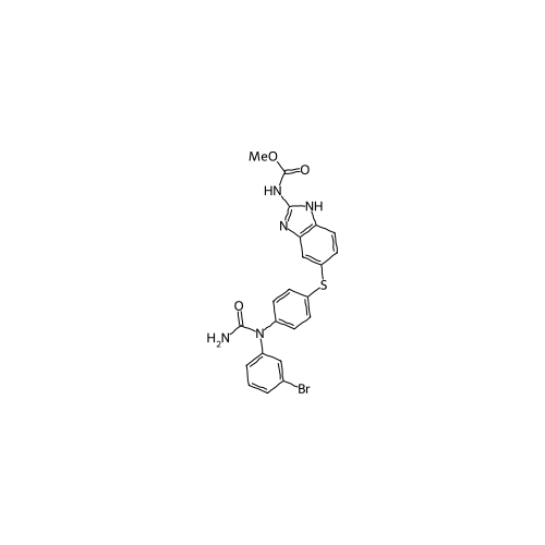 COC(=O)Nc1nc2cc(Sc3ccc(N(C(N)=O)c4cccc(Br)c4)cc3)ccc2[nH]1